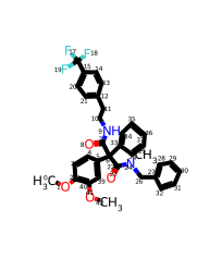 COc1ccc(C(C(=O)NCCc2ccc(C(F)(F)F)cc2)(C(=O)N(C)Cc2ccccc2)c2ccccc2)cc1OC